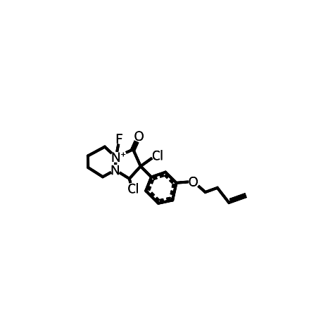 C=CCCOc1cccc(C2(Cl)C(=O)[N+]3(F)CCCCN3C2Cl)c1